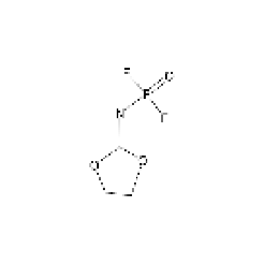 O=P(F)(F)N=C1OCCO1